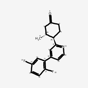 C[C@@H]1CC(=O)CC[C@H]1c1cc(-c2cc(F)ccc2F)ccn1